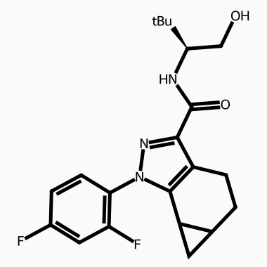 CC(C)(C)[C@@H](CO)NC(=O)c1nn(-c2ccc(F)cc2F)c2c1CCC1CC21